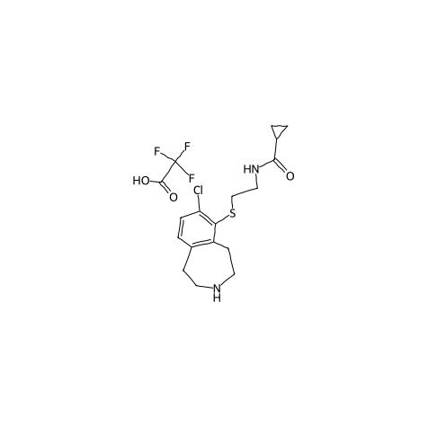 O=C(NCCSc1c(Cl)ccc2c1CCNCC2)C1CC1.O=C(O)C(F)(F)F